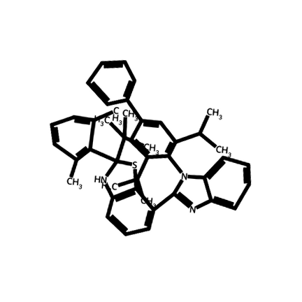 Cc1cccc(C)c1C1(C(C)(C)C)Nc2cccc(-c3nc4ccccc4n3-c3c(C(C)C)cc(-c4ccccc4)cc3C(C)C)c2S1